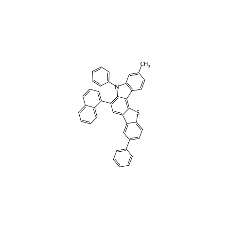 Cc1ccc2c3c4sc5ccc(-c6ccccc6)cc5c4cc(-c4cccc5ccccc45)c3n(-c3ccccc3)c2c1